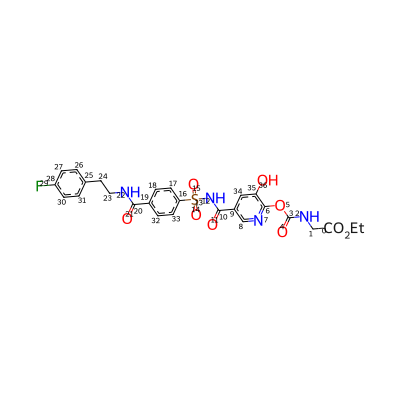 CCOC(=O)CNC(=O)Oc1ncc(C(=O)NS(=O)(=O)c2ccc(C(=O)NCCc3ccc(F)cc3)cc2)cc1O